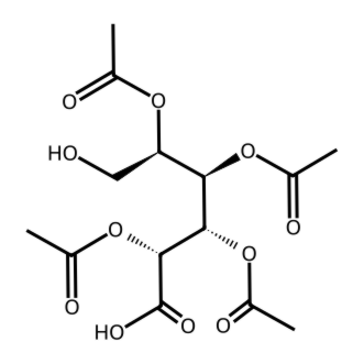 CC(=O)O[C@@H]([C@H](OC(C)=O)[C@@H](OC(C)=O)C(=O)O)[C@@H](CO)OC(C)=O